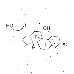 C[C@]12C[C@H](O)[C@@]3(F)[C@@H](CCC4=CC(=O)CC[C@@]43C)[C@@H]1CC[C@@H]2C(=O)CO